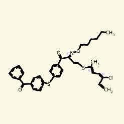 C=C/C(Cl)=C\C=C(/C)SCC/C(=N\OCCCCCC)C(=O)c1ccc(Sc2ccc(C(=O)c3ccccc3)cc2)cc1